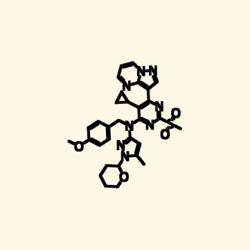 COc1ccc(CN(c2cc(C)n(C3CCCCO3)n2)c2nc(S(C)(=O)=O)nc(-c3cnn4cccnc34)c2C2CC2)cc1